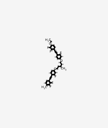 CCOc1ccc(C#Cc2ccc(OCCC(C)CCOc3ccc(C#Cc4ccc(C)c(F)c4F)c(F)c3)cc2F)c(F)c1F